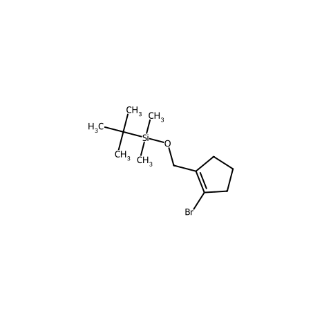 CC(C)(C)[Si](C)(C)OCC1=C(Br)CCC1